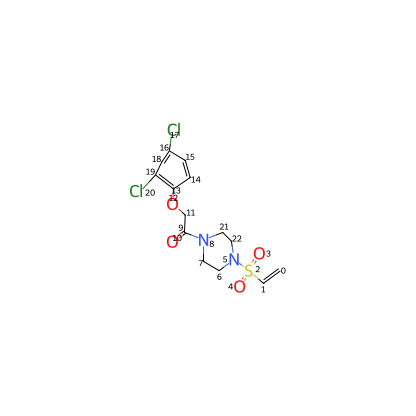 C=CS(=O)(=O)N1CCN(C(=O)COc2ccc(Cl)cc2Cl)CC1